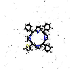 C1=CC2=C(c3ccccc3)C3=NC(=C(c4cccs4)C4=NC(=C(c5ccccc5)C5=NC(=C(c6ccccc6)C1=N2)C=C5)C=C4)C=C3